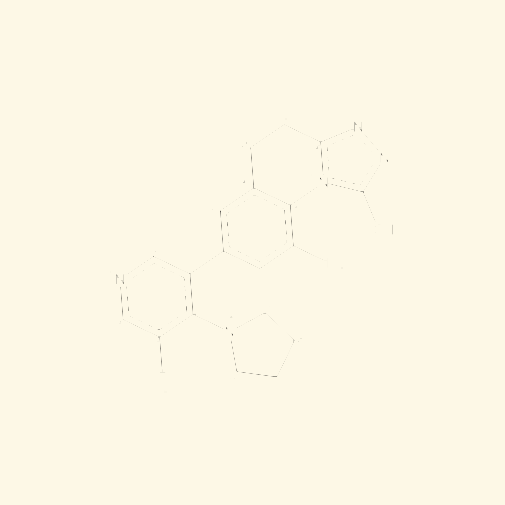 Cc1nnc2n1-c1c(F)cc(-c3cncc(F)c3N3CCCC3)cc1CC2